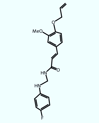 C=CCOc1ccc(C=CC(=O)NCNc2ccc(F)cc2)cc1OC